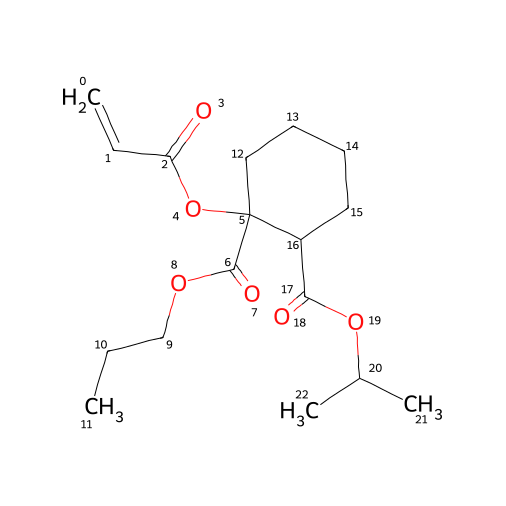 C=CC(=O)OC1(C(=O)OCCC)CCCCC1C(=O)OC(C)C